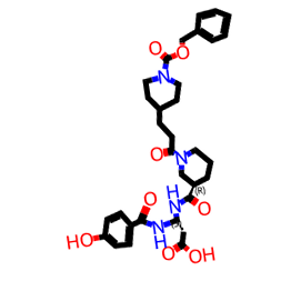 O=C(O)C[C@H](NC(=O)c1ccc(O)cc1)NC(=O)[C@@H]1CCCN(C(=O)CCC2CCN(C(=O)OCc3ccccc3)CC2)C1